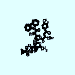 C=CC1CC1(NC(=O)[C@@H]1C[C@@H](NC(=O)n2c3ccccc3c3ccccc32)CN1C(=O)[C@@H](CC(=O)N1CCC(C(F)(F)F)CC1)C(C)(C)C)C(=O)NS(=O)(=O)C1CC1